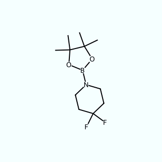 CC1(C)OB(N2CCC(F)(F)CC2)OC1(C)C